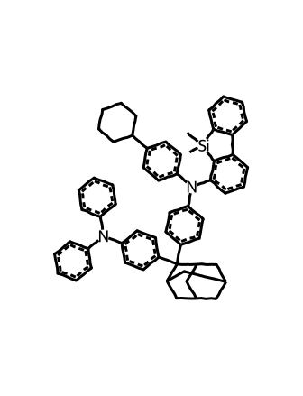 C[Si]1(C)c2ccccc2-c2cccc(N(c3ccc(C4CCCCC4)cc3)c3ccc(C4(c5ccc(N(c6ccccc6)c6ccccc6)cc5)C5CC6CC(C5)CC4C6)cc3)c21